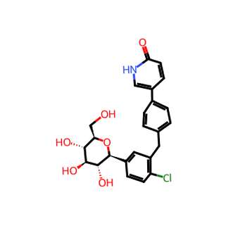 O=c1ccc(-c2ccc(Cc3cc([C@@H]4O[C@H](CO)[C@@H](O)[C@H](O)[C@H]4O)ccc3Cl)cc2)c[nH]1